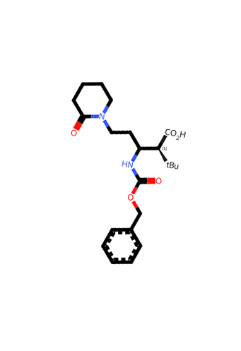 CC(C)(C)[C@H](C(=O)O)C(CCN1CCCCC1=O)NC(=O)OCc1ccccc1